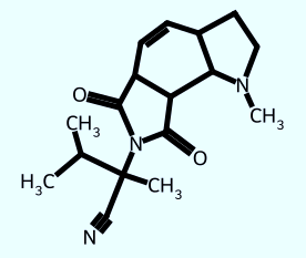 CC(C)C(C)(C#N)N1C(=O)C2C=CC3CCN(C)C3C2C1=O